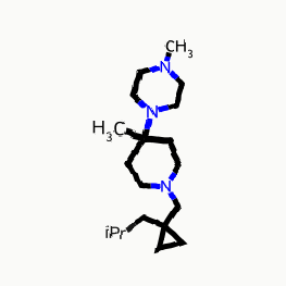 CC(C)CC1(CN2CCC(C)(N3CCN(C)CC3)CC2)CC1